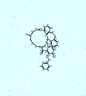 CC1CCCN2CN(C3c4ccccc4SCc4cccc(c43)OCC1)n1ccc(=O)c(OCc3ccccc3)c1C2=O